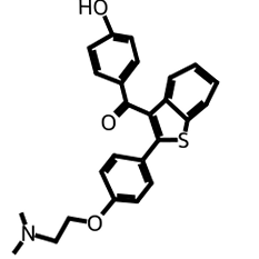 CN(C)CCOc1ccc(-c2sc3ccccc3c2C(=O)c2ccc(O)cc2)cc1